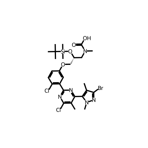 Cc1c(Cl)nc(-c2cc(OC[C@@H](CN(C)C(=O)O)O[Si](C)(C)C(C)(C)C)ccc2Cl)nc1-c1c(C)c(Br)nn1C